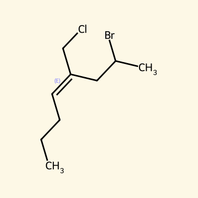 CCC/C=C(/CCl)CC(C)Br